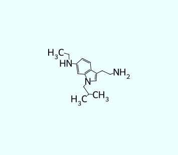 CCNc1ccc2c(CCN)cn(CC(C)C)c2c1